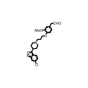 COc1cc(CC=O)ccc1OCCCN1CCC(c2onc3cc(Cl)ccc23)CC1